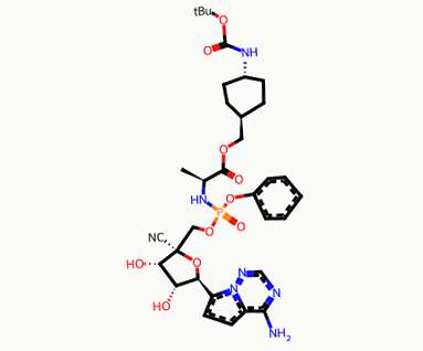 C[C@H](NP(=O)(OC[C@@]1(C#N)O[C@@H](c2ccc3c(N)ncnn23)[C@H](O)[C@@H]1O)Oc1ccccc1)C(=O)OC[C@H]1CC[C@H](NC(=O)OC(C)(C)C)CC1